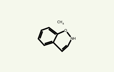 C.C1=Cc2ccccc2ON1